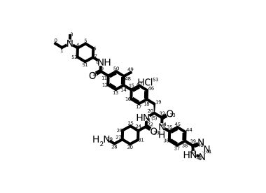 CCN(C)C1CCC(NC(=O)c2ccc(-c3ccc(C[C@H](NC(=O)C4CCC(CN)CC4)C(=O)Nc4ccc(-c5nnn[nH]5)cc4)cc3)c(C)c2)CC1.Cl